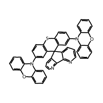 c1ccc2c(c1)Oc1ccccc1N2c1ccc2c(c1)C1(c3cc(N4c5ccccc5Oc5ccccc54)ccc3S2)c2cccnc2-c2ncccc21